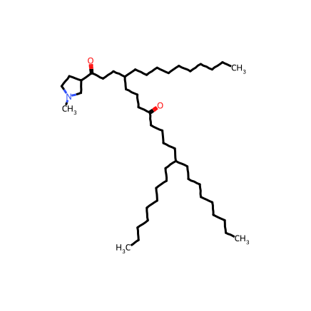 CCCCCCCCCCC(CCCC(=O)CCCCC(CCCCCCCCC)CCCCCCCCC)CCC(=O)C1CCN(C)C1